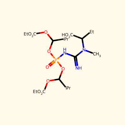 CCOC(=O)OC(OP(=O)(NC(=N)N(C)C(CC)C(=O)O)OC(OC(=O)OCC)C(C)C)C(C)C